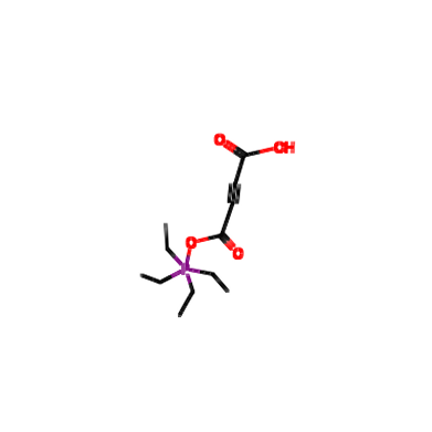 CCP(CC)(CC)(CC)OC(=O)C#CC(=O)O